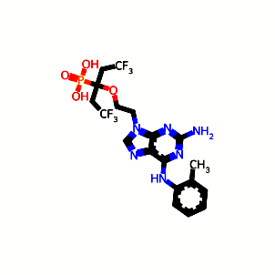 Cc1ccccc1Nc1nc(N)nc2c1ncn2CCOC(CC(F)(F)F)(CC(F)(F)F)P(=O)(O)O